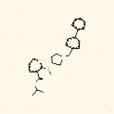 CC(C)OC(=O)c1cccnc1N(C)[C@@H]1CCN(Cc2ccc(-c3ccccc3)cc2)C1